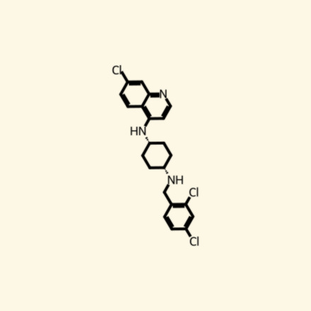 Clc1ccc(CN[C@H]2CC[C@@H](Nc3ccnc4cc(Cl)ccc34)CC2)c(Cl)c1